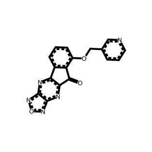 O=C1c2nc3nonc3nc2-c2cccc(OCc3cccnc3)c21